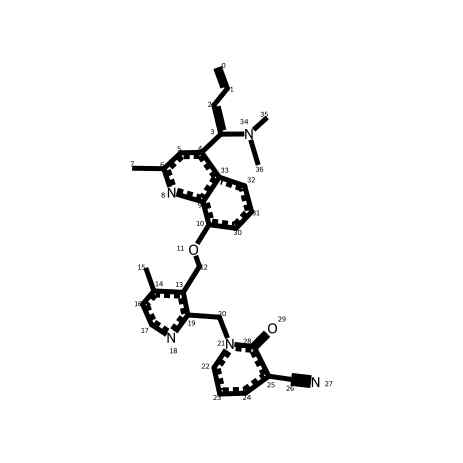 C=C/C=C(/c1cc(C)nc2c(OCc3c(C)ccnc3Cn3cccc(C#N)c3=O)cccc12)N(C)C